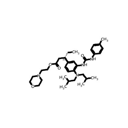 CC[C@@H](CC(=O)OCCN1CCOCC1)c1ccc(N(CC(C)C)CC(C)C)c(NC(=O)Nc2ccc(C)cc2)c1